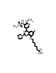 COc1ncc(-c2nc(N3CCOCC3)nc3c(OCCCCCCC(=O)O)cc(F)cc23)cc1NS(C)(=O)=O